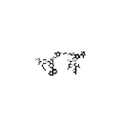 Cc1cc([C@@H](C(=O)N2C[C@H](O)C[C@H]2C(=O)NCc2ccc(-c3scnc3C)cc2OCCOCCO[C@@H]2C[C@@H](COc3nc4c(c(N5CCN(C(=O)O)[C@@H](CC#N)C5)n3)CCN(c3cccc5ccccc35)C4)N(C)C2)C(C)C)on1